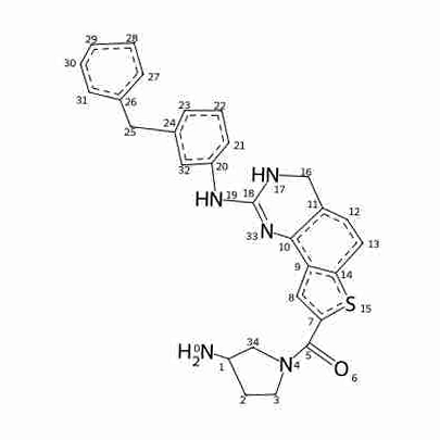 NC1CCN(C(=O)c2cc3c4c(ccc3s2)CNC(Nc2cccc(Cc3ccccc3)c2)=N4)C1